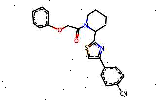 N#Cc1ccc(-c2csc(C3CCCCN3C(=O)COc3ccccc3)n2)cc1